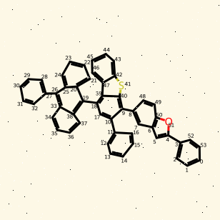 c1ccc(-c2cc3cc(-c4c(-c5ccccc5)cc(-c5c6ccccc6c(-c6ccccc6)c6ccccc56)c5c4sc4ccccc45)ccc3o2)cc1